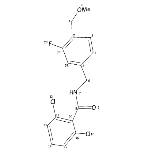 COCc1ccc(CNC(=O)c2c(Cl)cccc2Cl)cc1F